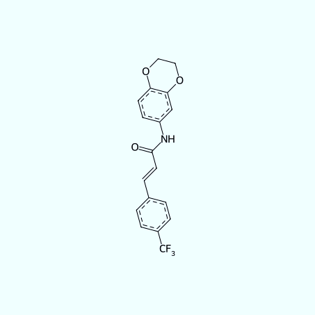 O=C(/C=C/c1ccc(C(F)(F)F)cc1)Nc1ccc2c(c1)OCCO2